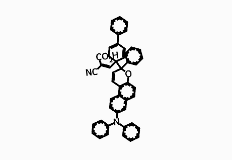 N#C/C(=C/C1(C2(c3ccccc3)C=Cc3c(ccc4cc(N(c5ccccc5)c5ccccc5)ccc34)O2)C=CC(c2ccccc2)=CC1)C(=O)O